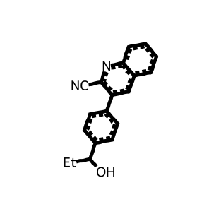 CCC(O)c1ccc(-c2cc3ccccc3nc2C#N)cc1